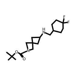 CC(C)(C)OC(=O)N1CC2(CC(NCC3CCC(F)(F)CC3)C2)C1